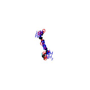 CCC(c1ccc(F)c(C(=O)c2c[nH]c3ncc(-c4ccc(N5CCN(C(=O)CN6CCC(c7ccc(NC8CCC(=O)NC8=O)cc7)CC6)CC5)nc4)cc23)c1F)S(N)(=O)=O